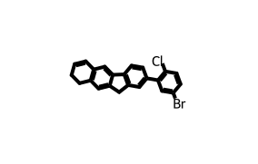 Clc1ccc(Br)cc1-c1ccc2c(c1)Cc1cc3c(cc1-2)C=CCC3